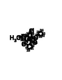 CN1CC[C@@H](N2C(=O)c3ccccc3[C@@H](C(=O)NOCc3ccccc3)[C@@H]2c2ccc(Cl)cc2Cl)C1